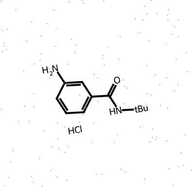 CC(C)(C)NC(=O)c1cccc(N)c1.Cl